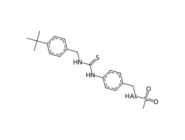 CC(C)(C)c1ccc(CNC(=S)Nc2ccc(C[AsH]S(C)(=O)=O)cc2)cc1